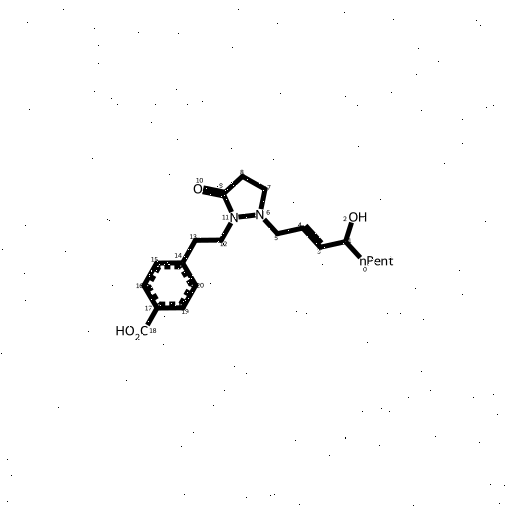 CCCCCC(O)C=CCN1CCC(=O)N1CCc1ccc(C(=O)O)cc1